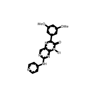 CCn1c(=O)c(-c2cc(OC)cc(OC)c2)nc2cnc(Nc3ccncc3)nc21